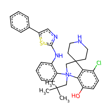 CC(C)(C)C[N+]1(c2ccccc2Nc2ncc(-c3ccccc3)s2)CC2(CCNCC2)c2c(Cl)ccc(O)c21